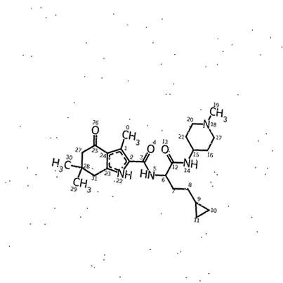 Cc1c(C(=O)NC(CCC2CC2)C(=O)NC2CCN(C)CC2)[nH]c2c1C(=O)CC(C)(C)C2